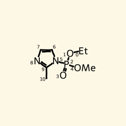 CCOP(=O)(OC)n1ccnc1C